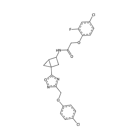 O=C(COc1ccc(Cl)cc1F)NC1CC2(c3nc(COc4ccc(Cl)cc4)no3)CC12